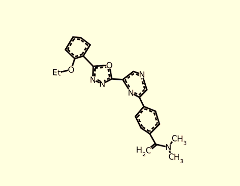 C=C(c1ccc(-c2cncc(-c3nnc(-c4ccccc4OCC)o3)n2)cc1)N(C)C